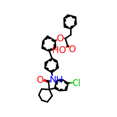 O=C(O)C(Cc1ccccc1)Oc1cccc(-c2ccc(NC(=O)C3(c4ccc(Cl)cc4)CCCCC3)cc2)c1